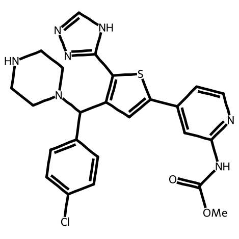 COC(=O)Nc1cc(-c2cc(C(c3ccc(Cl)cc3)N3CCNCC3)c(-c3nnc[nH]3)s2)ccn1